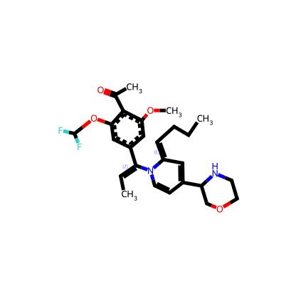 C/C=C(/c1cc(OC)c(C(C)=O)c(OC(F)F)c1)N1C=CC(C2COCCN2)=C/C1=C\CCC